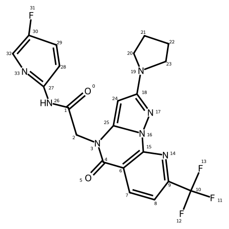 O=C(Cn1c(=O)c2ccc(C(F)(F)F)nc2n2nc(N3CCCC3)cc12)Nc1ccc(F)cn1